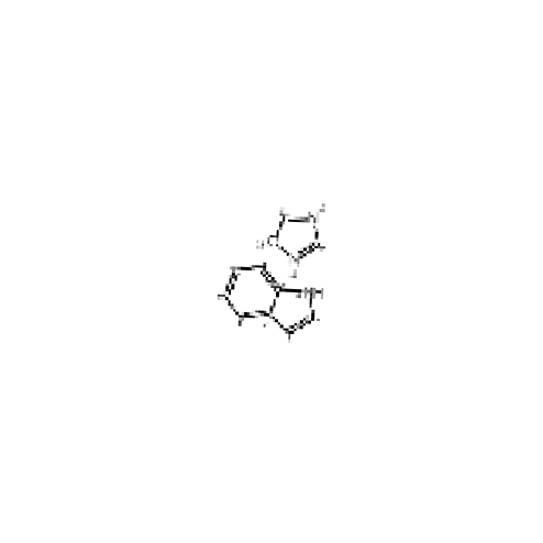 c1ccc2[nH]ccc2c1.c1ncon1